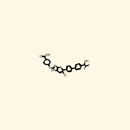 O=C(O)C1CCC(Oc2nc3nc(-c4ccc(-c5ccc(C(O)C(F)F)cc5)cc4)c(Cl)cc3[nH]2)CC1